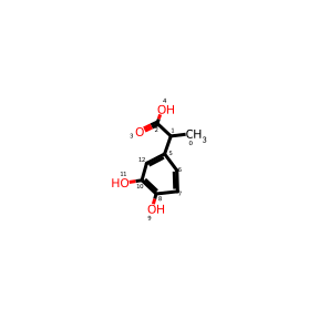 CC(C(=O)O)c1ccc(O)c(O)c1